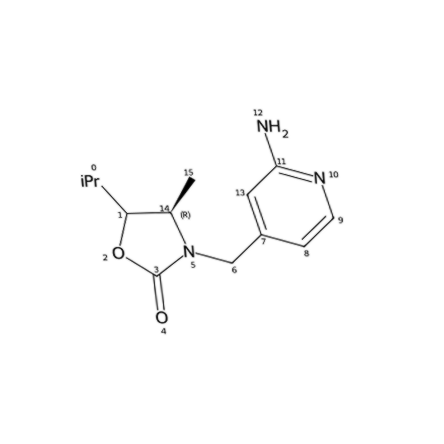 CC(C)C1OC(=O)N(Cc2ccnc(N)c2)[C@@H]1C